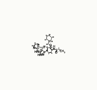 CC[S+]([O-])Nc1ccc(-c2n[nH]c(Nc3cnccn3)c2C=O)cc1OCC1CCCCC1